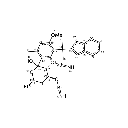 CC[C@@H]1C[C@H](OB=N)[C@@H](OB=N)C(O)(c2cc(C(C)(C)c3cc4ccccc4s3)c(OC)cc2C)O1